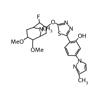 COC1CC2C(F)C(Oc3nnc(-c4ccc(-n5ccc(C)n5)cc4O)s3)CC(C1OC)N2C